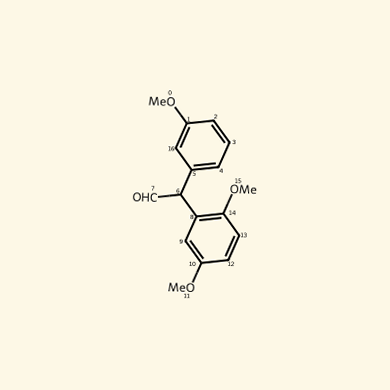 COc1cccc(C(C=O)c2cc(OC)ccc2OC)c1